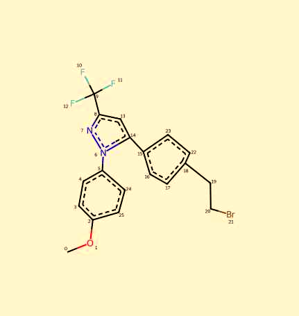 COc1ccc(-n2nc(C(F)(F)F)cc2-c2ccc(CCBr)cc2)cc1